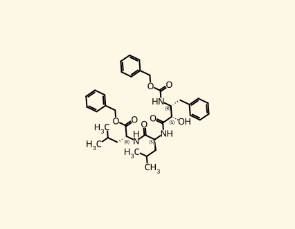 CC(C)C[C@H](NC(=O)[C@@H](O)[C@@H](Cc1ccccc1)NC(=O)OCc1ccccc1)C(=O)N[C@H](CC(C)C)C(=O)OCc1ccccc1